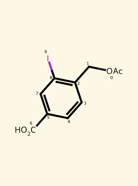 CC(=O)OCc1ccc(C(=O)O)cc1I